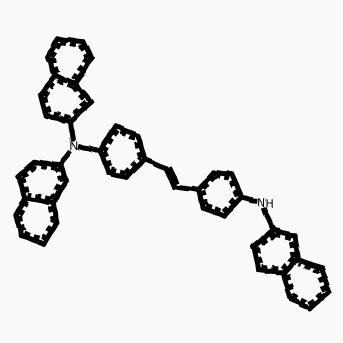 C(=Cc1ccc(N(c2ccc3ccccc3c2)c2ccc3ccccc3c2)cc1)c1ccc(Nc2ccc3ccccc3c2)cc1